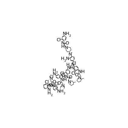 CC1CCCCN1CC(=O)Nc1ccc(N)cc1Cl.CC1CCCN(CC(=O)Nc2ccc(N)cc2Cl)C1.CCN(CC)CC(=O)Nc1ccc(N)cc1Cl.CN(C)c1ccc(Cl)cc1N.Nc1ccc(NC(=O)CN2CCCC2)c(Cl)c1.Nc1ccc(NC(=O)CN2CCCCCC2)c(Cl)c1.Nc1cccc(Cl)c1N